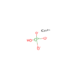 [Co+2].[O-][Cl+3]([O-])([O-])O